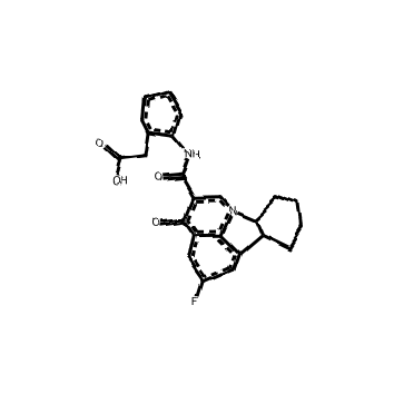 O=C(O)Cc1ccccc1NC(=O)c1cn2c3c(cc(F)cc3c1=O)C1CCCCC12